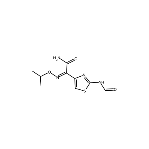 CC(C)ON=C(C(N)=O)c1csc(NC=O)n1